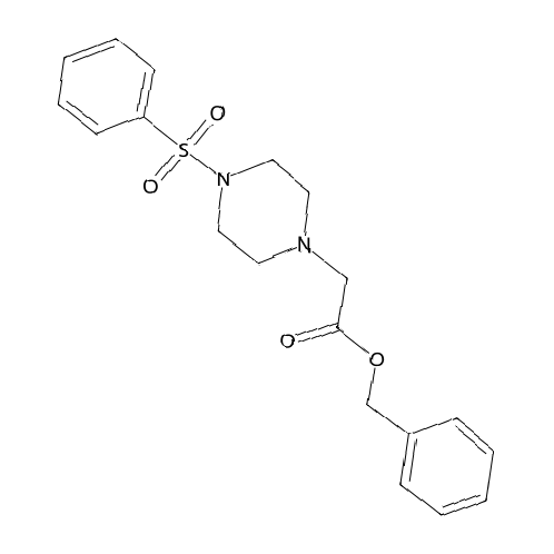 O=C(CN1CCN(S(=O)(=O)c2ccccc2)CC1)OCc1ccccc1